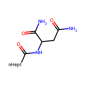 CCCCCCCC(=O)NC(CC(N)=O)C(N)=O